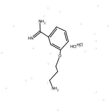 Cl.Cl.N=C(N)c1cccc(OCCCN)c1